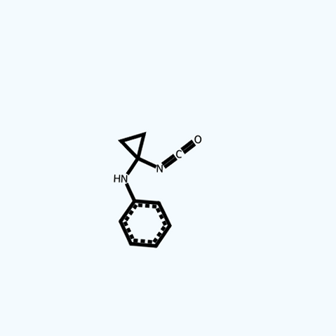 O=C=NC1(Nc2ccccc2)CC1